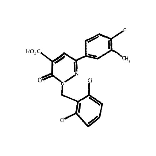 Cc1cc(-c2cc(C(=O)O)c(=O)n(Cc3c(Cl)cccc3Cl)n2)ccc1F